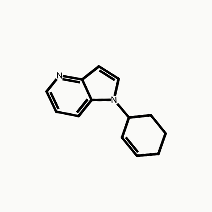 C1=CC(n2ccc3ncccc32)CCC1